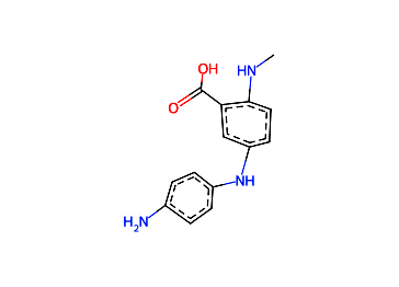 CNc1ccc(Nc2ccc(N)cc2)cc1C(=O)O